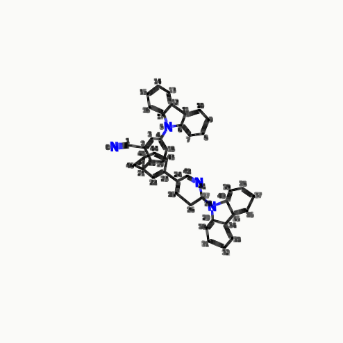 N#CC1=CC(n2c3ccccc3c3ccccc32)=CCC1C12C=C(C3=CCC(n4c5ccccc5c5ccccc54)N=C3)C=CC1=C2